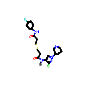 CCN(C(=O)CCSCCC(=O)Nc1ccc(F)cc1)c1cn(-c2cccnc2)nc1Cl